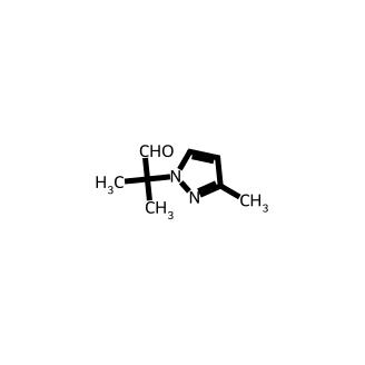 Cc1ccn(C(C)(C)C=O)n1